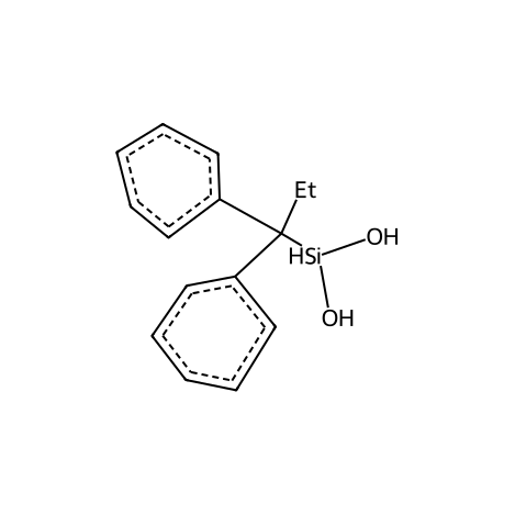 CCC(c1ccccc1)(c1ccccc1)[SiH](O)O